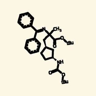 CC(C)(C)OC(=O)N[C@@H]1CC[C@@H](CC(C)(N=C(c2ccccc2)c2ccccc2)C(=O)OC(C)(C)C)C1